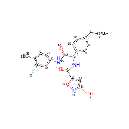 COCc1ccc(C(NC(=O)c2cc(O)no2)C(=O)Nc2ccc(C(C)(C)C)c(F)c2)cc1